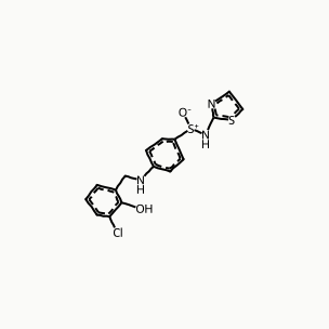 [O-][S+](Nc1nccs1)c1ccc(NCc2cccc(Cl)c2O)cc1